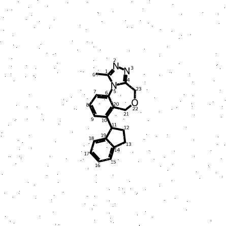 Cc1nnc2n1-c1cccc(C3CCc4ccccc43)c1COC2